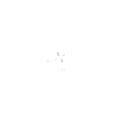 O=[Te](=O)(O)O.[LiH]